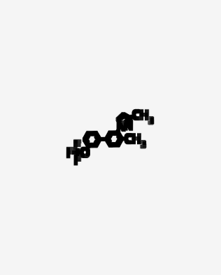 Cc1ccn(-c2cc(-c3cccc(OC(F)(F)F)c3)ccc2C)n1